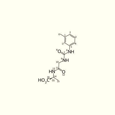 Cc1cccc(NC(=O)NCC(=O)N[C@@H](C)C(=O)O)c1